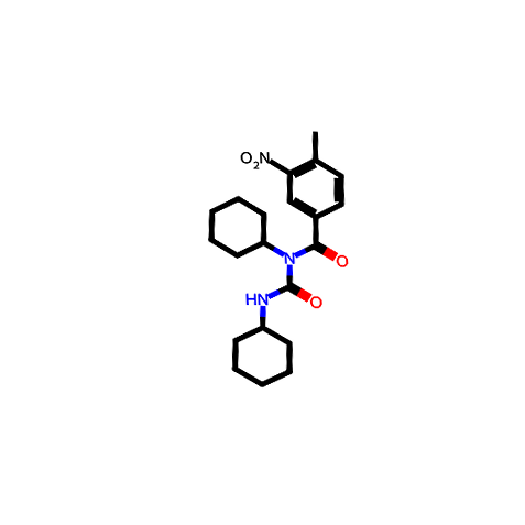 Cc1ccc(C(=O)N(C(=O)NC2CCCCC2)C2CCCCC2)cc1[N+](=O)[O-]